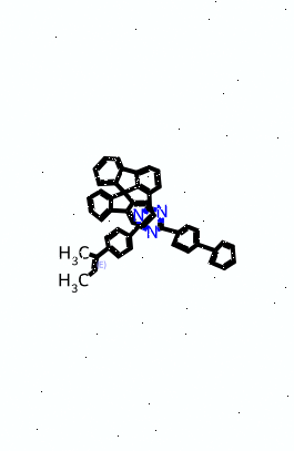 C/C=C(\C)c1ccc(-c2nc(-c3ccc(-c4ccccc4)cc3)nc(-c3cccc4c3C3(c5ccccc5-c5ccccc53)c3ccccc3-4)n2)cc1